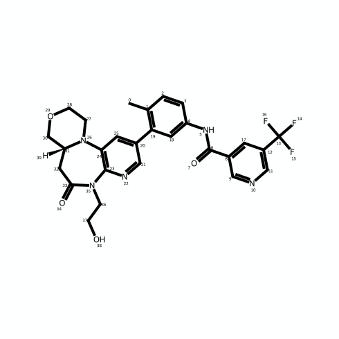 Cc1ccc(NC(=O)c2cncc(C(F)(F)F)c2)cc1-c1cnc2c(c1)N1CCOC[C@H]1CC(=O)N2CCO